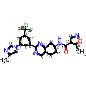 Cc1cn(-c2cc(-c3ncc4ccc(NC(=O)c5cnoc5C)cc4n3)cc(C(F)(F)F)c2)cn1